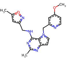 COc1ccnc(Cn2ccc3nc(C)nc(NCc4cc(C)on4)c32)c1